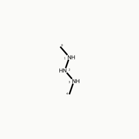 CNNNC